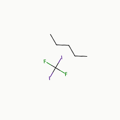 CCCCC.FC(F)(I)I